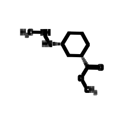 CNN[C@@H]1CCC[C@H](C(=O)OC)C1